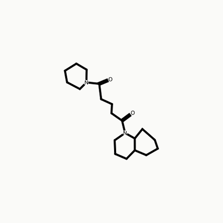 O=C(CCCC(=O)N1CCCC2CCCCC21)N1CCCCC1